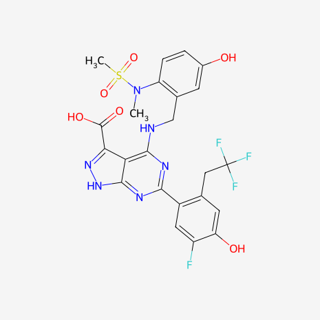 CN(c1ccc(O)cc1CNc1nc(-c2cc(F)c(O)cc2CC(F)(F)F)nc2[nH]nc(C(=O)O)c12)S(C)(=O)=O